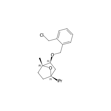 CC(C)[C@@]12CC[C@@](C)(O1)[C@@H](OCc1ccccc1CCl)C2